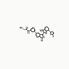 CC(C)CC(=O)Nc1cncc(-c2cnc3[nH]nc(-c4nc5c(-c6ccc(F)s6)cccc5[nH]4)c3c2)c1